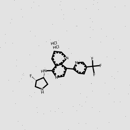 Cl.Cl.F[C@H]1CNC[C@H]1Nc1ncc(-c2ccc(C(F)(F)F)cn2)c2ncccc12